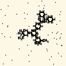 C=C(C)CN(CC)c1nc(N2CCN(C(=O)NC(c3ccccc3)c3ccccc3)CC2)nc(N(CC)CC(=C)C)n1